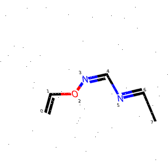 C=CO/N=C\N=C\C